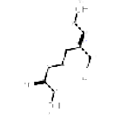 C=C(CO)CCC/C(=C\CO)CO